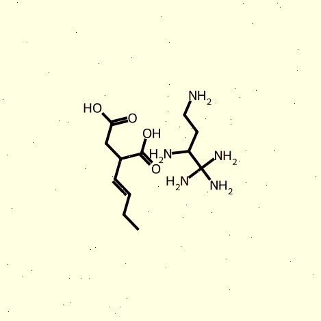 CCC=CC(CC(=O)O)C(=O)O.NCCC(N)C(N)(N)N